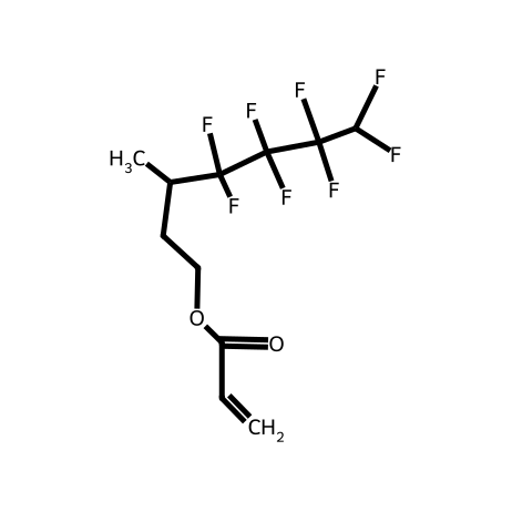 C=CC(=O)OCCC(C)C(F)(F)C(F)(F)C(F)(F)C(F)F